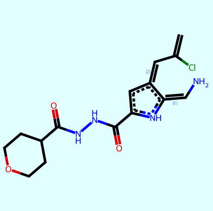 C=C(Cl)/C=c1/cc(C(=O)NNC(=O)C2CCOCC2)[nH]/c1=C/N